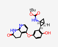 CC(C)(C)OC(=O)N[C@@]12C[C@H]1[C@H]2c1cc(Oc2ccnc3c2CCC(=O)N3)ccc1O